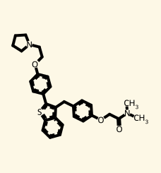 CN(C)C(=O)COc1ccc(Cc2c(-c3ccc(OCCN4CCCC4)cc3)sc3ccccc23)cc1